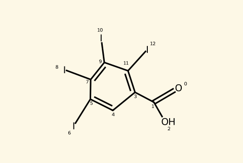 O=C(O)c1cc(I)c(I)c(I)c1I